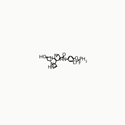 O=C(Nc1ccc(OC(F)(P)Cl)cc1)c1cnc(N2CC[C@@H](O)C2)c(-c2cc[nH]n2)c1